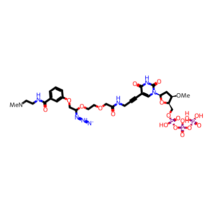 CNCCNC(=O)c1cccc(OCC(N=[N+]=[N-])OCCOCC(=O)NCC#Cc2cn([C@H]3C[C@@H](OC)[C@@H](COP(=O)(O)OP(=O)(O)OP(=O)(O)O)O3)c(=O)[nH]c2=O)c1